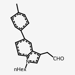 CCCCCCn1cc(CC=O)c2cc(-c3ccc(C)cc3)ccc21